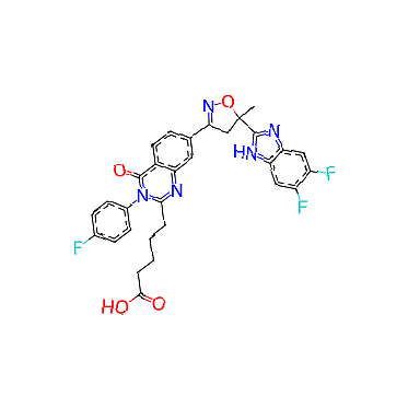 CC1(c2nc3cc(F)c(F)cc3[nH]2)CC(c2ccc3c(=O)n(-c4ccc(F)cc4)c(CCCCC(=O)O)nc3c2)=NO1